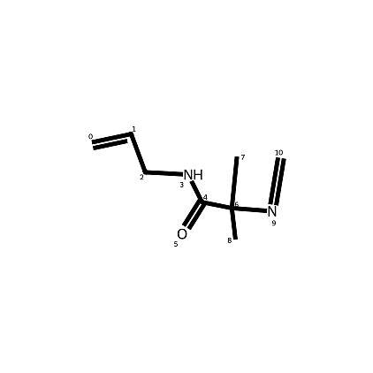 C=CCNC(=O)C(C)(C)N=C